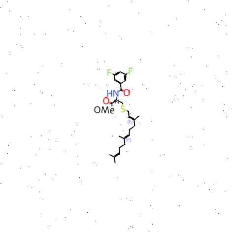 COC(=O)[C@H](CSC/C=C(\C)CC/C=C(\C)CCC=C(C)C)NC(=O)c1cc(F)cc(F)c1